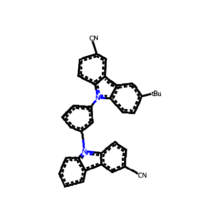 CC(C)(C)c1ccc2c(c1)c1cc(C#N)ccc1n2-c1cccc(-n2c3ccccc3c3cc(C#N)ccc32)c1